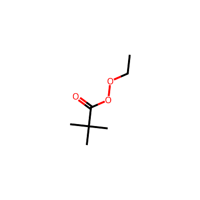 CCOOC(=O)C(C)(C)C